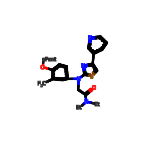 CCCCCOc1ccc(N(CC(=O)N(CC)CC)c2nc(-c3cccnc3)cs2)cc1C(F)(F)F